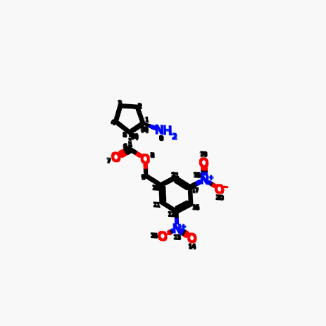 N[C@@H]1CCC[C@H]1C(=O)OCc1cc([N+](=O)[O-])cc([N+](=O)[O-])c1